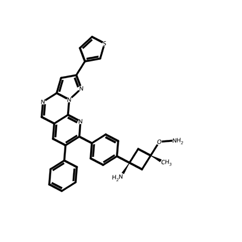 C[C@]1(ON)C[C@@](N)(c2ccc(-c3nc4c(cnc5cc(-c6ccsc6)nn54)cc3-c3ccccc3)cc2)C1